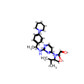 CC(C)C1COC(C=O)N1c1ccnc(N[C@@H](C)c2ccc(N3CCCCC3)cc2)n1